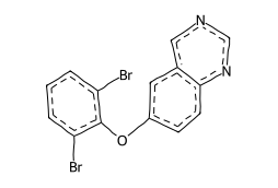 Brc1cccc(Br)c1Oc1ccc2ncncc2c1